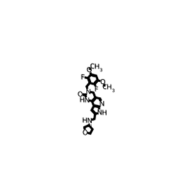 COc1cc(OC)c(F)c(CN2Cc3cnc4[nH]c(CN[C@@H]5CCOC5)cc4c3NC2=O)c1F